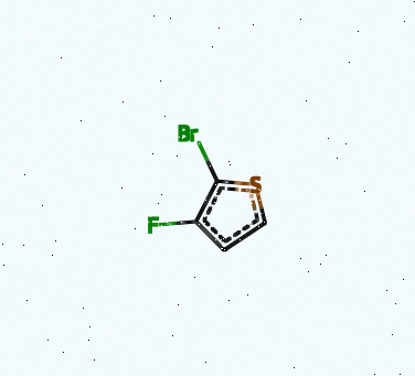 Fc1ccsc1Br